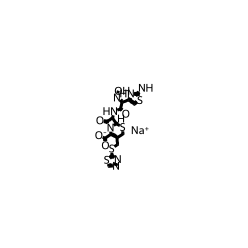 N=c1[nH]c(C(=NO)C(=O)NC2C(=O)N3C(C(=O)[O-])=C(CSc4nncs4)CS[C@@H]23)cs1.[Na+]